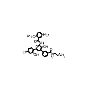 COc1ccccc1C(=O)Nc1nc(-c2ccc(Cl)cc2O)cc(-c2cccc(C(=O)NCCN)c2)c1C#N.Cl